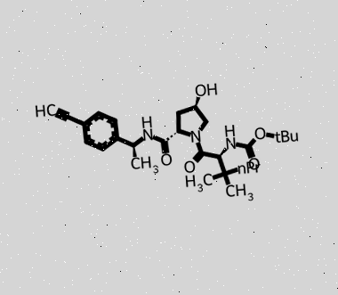 C#Cc1ccc([C@H](C)NC(=O)[C@@H]2C[C@@H](O)CN2C(=O)[C@@H](NC(=O)OC(C)(C)C)C(C)(C)CCC)cc1